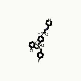 O=C(/C=C/c1ccncc1)Nc1ccc(S(=O)(=O)N(Cc2ccc(F)cc2)Cc2c(Cl)cccc2Cl)cc1